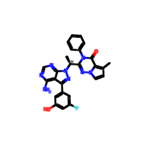 Cc1ccn2nc([C@H](C)n3nc(-c4cc(O)cc(F)c4)c4c(N)ncnc43)n(-c3ccccc3)c(=O)c12